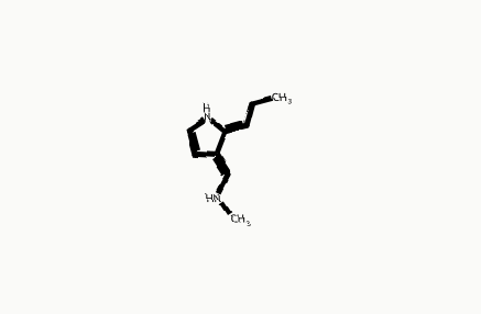 CC/C=c1\[nH]cc\c1=C/NC